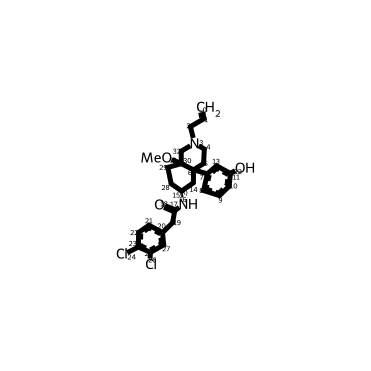 C=CCN1CCC2(c3cccc(O)c3)C[C@H](NC(=O)Cc3ccc(Cl)c(Cl)c3)CCC2(OC)C1